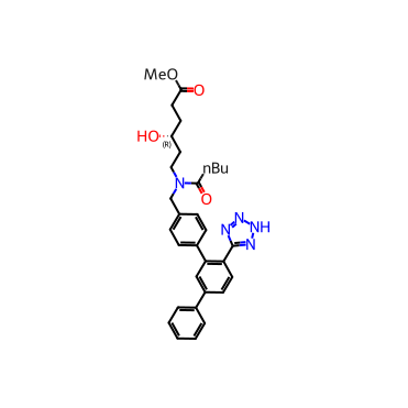 CCCCC(=O)N(CC[C@H](O)CCC(=O)OC)Cc1ccc(-c2cc(-c3ccccc3)ccc2-c2nn[nH]n2)cc1